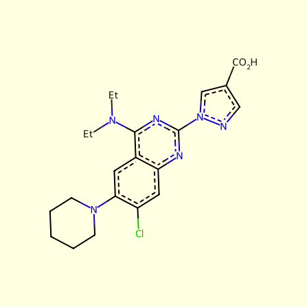 CCN(CC)c1nc(-n2cc(C(=O)O)cn2)nc2cc(Cl)c(N3CCCCC3)cc12